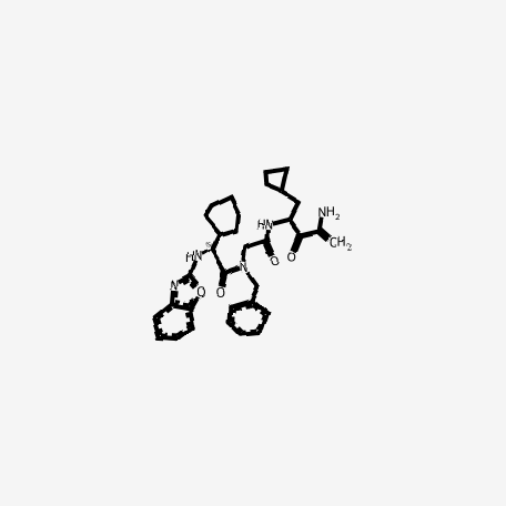 C=C(N)C(=O)C(CC1CCC1)NC(=O)CN(Cc1ccccc1)C(=O)[C@@H](Nc1nc2ccccc2o1)C1CCCCC1